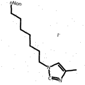 CCCCCCCCCCCCCCCCN1[C+]=NC(C)=C1.[I-]